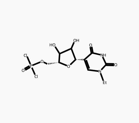 CCn1cc([C@@H]2O[C@H](COP(=O)(Cl)Cl)C(O)C2O)c(=O)[nH]c1=O